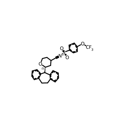 O=S(=O)([N+]#CC1CCO[C@H](C2c3ccccc3CCc3ccccc32)C1)c1ccc(OC(F)(F)F)cc1